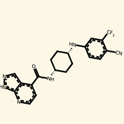 N#Cc1ccc(N[C@H]2CC[C@@H](NC(=O)c3ccnc4[nH]ncc34)CC2)cc1C(F)(F)F